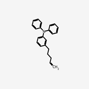 C=CCCCc1cccc(N(c2ccccc2)c2ccccc2)c1